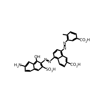 Cc1ccc(C(=O)O)cc1/N=N/c1ccc(/N=N/c2c(S(=O)(=O)O)cc3ccc(N)cc3c2O)c2ccc(C(=O)O)cc12